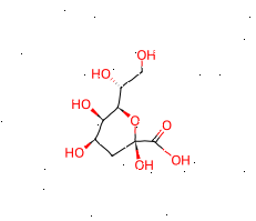 O=C(O)[C@]1(O)C[C@@H](O)[C@@H](O)[C@@H]([C@H](O)CO)O1